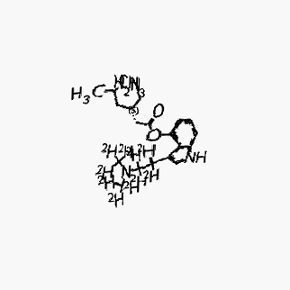 [2H]C([2H])([2H])N(C([2H])([2H])[2H])C([2H])([2H])C([2H])([2H])c1c[nH]c2cccc(OC(=O)C[C@@H](CN)CC(C)C)c12